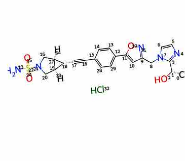 C[C@H](O)c1nccn1Cc1cc(-c2ccc(C#C[C@@H]3[C@H]4CN(S(N)(=O)=O)C[C@@H]34)cc2)on1.Cl